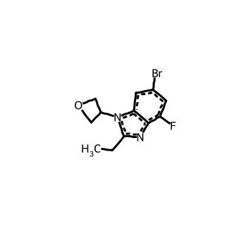 CCc1nc2c(F)cc(Br)cc2n1C1COC1